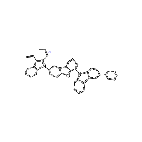 C=Cc1c(/C=C\C)n(-c2ccc3oc4c(-n5c6ccccc6c6cc(-c7ccccc7)ccc65)cccc4c3c2)c2ccccc12